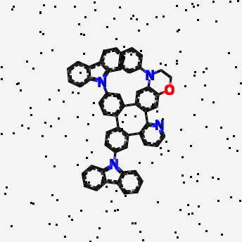 c1ccc(N2CCOc3cc4c(cc32)-c2cc(-n3c5ccccc5c5ccccc53)ccc2-c2ccc(-n3c5ccccc5c5ccccc53)cc2-c2cccnc2-4)cc1